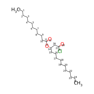 CCCCCCCCCCCC(=O)OC(CCCCCCCCCCC)CC(=O)Cl